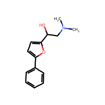 CN(C)CC(O)c1ccc(-c2ccccc2)o1